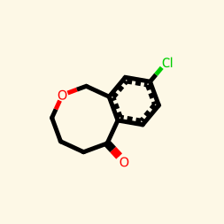 O=C1CCCOCc2cc(Cl)ccc21